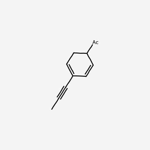 CC#CC1=CCC(C(C)=O)C=C1